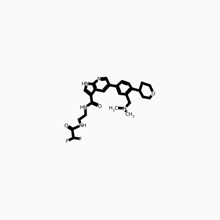 CN(C)Cc1cc(-c2cnc3[nH]cc(C(=O)NCCNC(=O)C(F)F)c3c2)ccc1C1CCOCC1